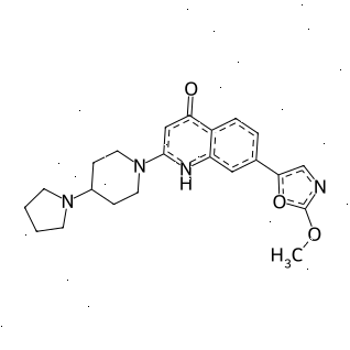 COc1ncc(-c2ccc3c(=O)cc(N4CCC(N5CCCC5)CC4)[nH]c3c2)o1